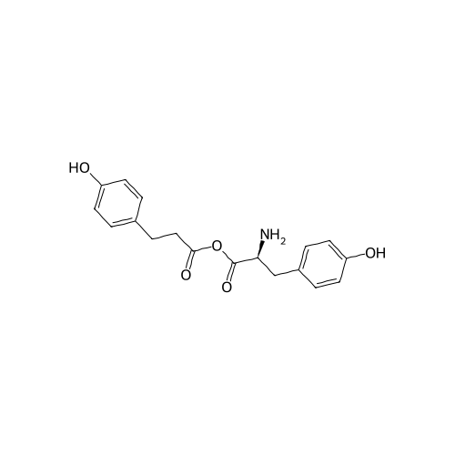 N[C@@H](Cc1ccc(O)cc1)C(=O)OC(=O)CCc1ccc(O)cc1